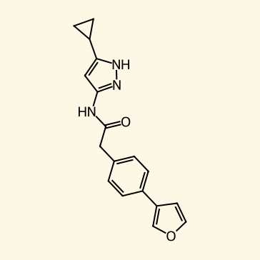 O=C(Cc1ccc(-c2ccoc2)cc1)Nc1cc(C2CC2)[nH]n1